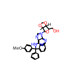 COc1ccc(C(Nc2ncnc3c2ncn3[C@@H]2OC(CO)[C@H]3OCO[C@]32C)(c2ccccc2)c2ccccc2)cc1